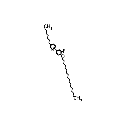 CCCCCCCCCCCCCCCCCCOc1ccc(-c2ccc(CCCCCCCC)cn2)cc1F